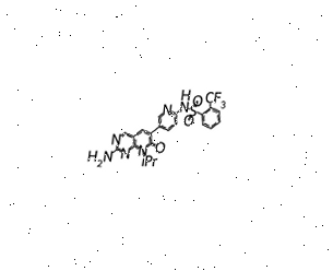 CC(C)n1c(=O)c(-c2ccc(NS(=O)(=O)c3ccccc3C(F)(F)F)nc2)cc2cnc(N)nc21